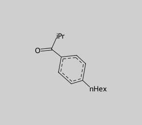 CCCCCCc1ccc(C(=O)C(C)C)cc1